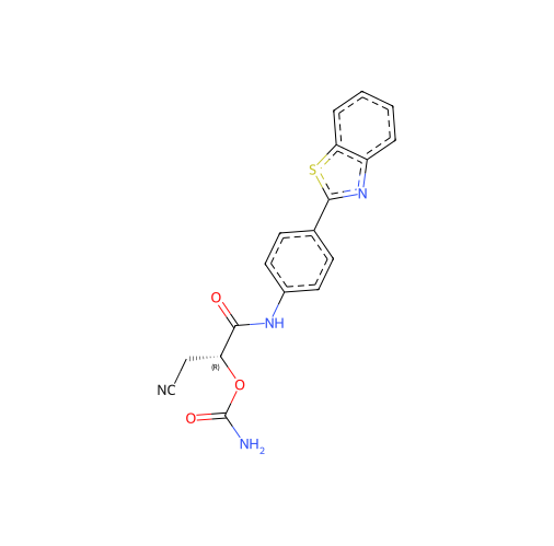 N#CC[C@@H](OC(N)=O)C(=O)Nc1ccc(-c2nc3ccccc3s2)cc1